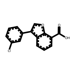 O=C(O)c1cccc2c(-c3cccc(Cl)c3)coc12